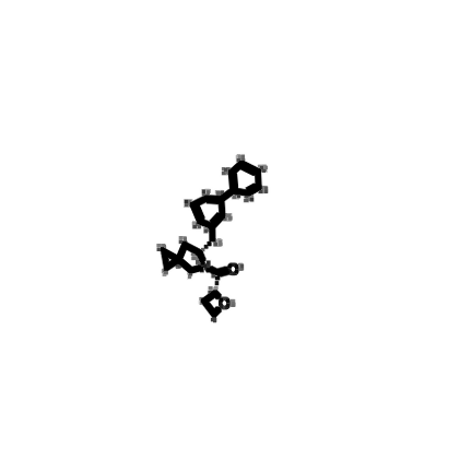 O=C([C@H]1CCO1)N1CC2(CC2)C[C@@H]1Cc1cccc(-c2ccccc2)c1